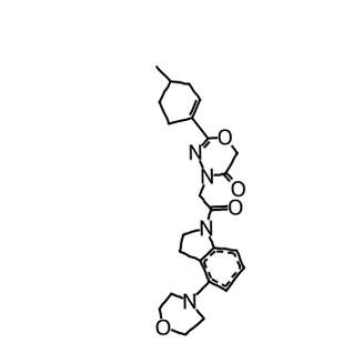 CC1CC=C(C2=NN(CC(=O)N3CCc4c(N5CCOCC5)cccc43)C(=O)CO2)CC1